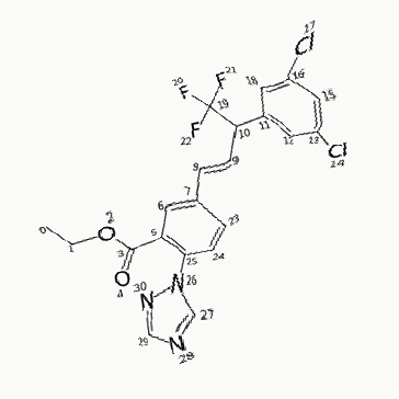 CCOC(=O)c1cc(C=CC(c2cc(Cl)cc(Cl)c2)C(F)(F)F)ccc1-n1cncn1